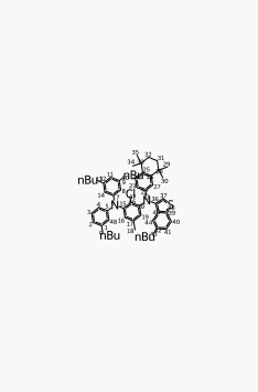 CCCCc1cccc(N(c2cc(CCCC)cc(CCCC)c2)c2cc(C)cc(N(c3ccc4c(c3)C(C)(C)CCC4(C)C)c3csc4ccc(CCCC)cc34)c2Cl)c1